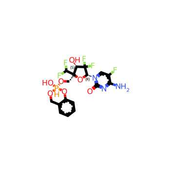 Nc1nc(=O)n([C@@H]2O[C@@](CO[PH]3(O)OCc4ccccc4O3)(C(F)F)[C@H](O)C2(F)F)cc1F